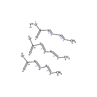 C/C=C/C=C/C(=O)[O-].C/C=C/C=C/C(=O)[O-].C/C=C/C=C/C(=O)[O-].[Y+3]